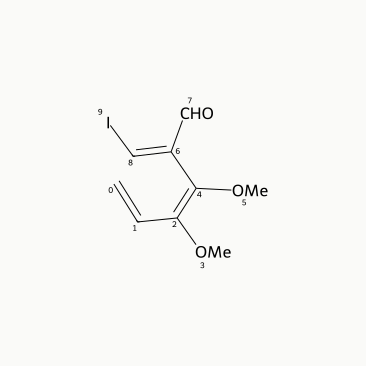 C=C/C(OC)=C(/OC)C(C=O)=CI